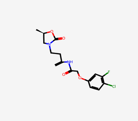 C=C(CCN1C[C@@H](C)OC1=O)NC(=O)COc1ccc(Cl)c(F)c1